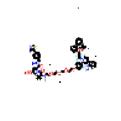 Cc1ncsc1-c1ccc(CNC(=O)[C@@H]2C[C@@H](O)CN2C(=O)[C@@H](NC(=O)COCCOCCOCCOc2cc(F)c([C@@H]3c4[nH]c5ccccc5c4C[C@@H](C)N3CC(F)(F)CO[Si](c3ccccc3)(c3ccccc3)C(C)(C)C)c(F)c2)C(C)(C)C)cc1